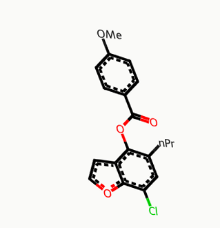 CCCc1cc(Cl)c2occc2c1OC(=O)c1ccc(OC)cc1